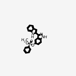 COP(=O)(Oc1ccc2[nH]nc(-c3cc4ccccc4[nH]3)c2c1)c1ccccc1